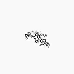 CCC1=CC(C)(C)N2CCCc3c4c(cc1c32)C(c1nccn1CCCCCC(=O)ON1C(=O)CCC1=O)=c1cc2c(c(S(=O)(=O)O)c1O4)=NC(C)(C)C=C2CS(=O)(=O)O